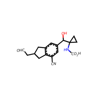 N#Cc1cc(C(O)C2(NC(=O)O)CC2)cc2c1CC(CC=O)C2